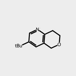 CC(C)(C)c1cnc2c(c1)COCC2